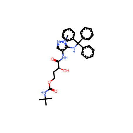 Cn1ncc(NC(=O)[C@@H](O)CCOC(=O)NC(C)(C)C)c1NC(c1ccccc1)(c1ccccc1)c1ccccc1